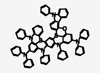 c1ccc(N(c2ccccc2)c2cc3c4c(c2)N(c2ccccc2)c2cc5c(cc2B4c2ccc4c(c2O3)c2ccccc2n4-c2ccccc2)B2c3ccccc3N(c3ccccc3)c3cc(N(c4ccccc4)c4ccccc4)cc(c32)N5c2ccccc2)cc1